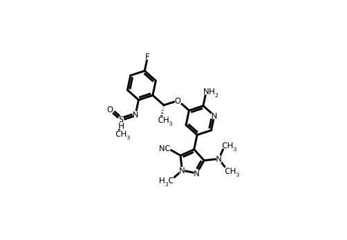 C[C@@H](Oc1cc(-c2c(N(C)C)nn(C)c2C#N)cnc1N)c1cc(F)ccc1/N=[SH](/C)=O